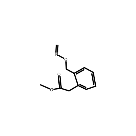 C=NOCc1ccccc1CC(=O)OC